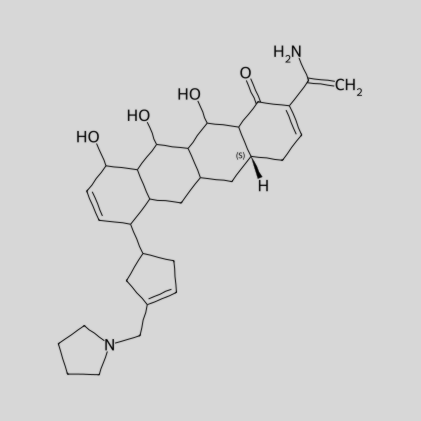 C=C(N)C1=CC[C@@H]2CC3CC4C(C5CC=C(CN6CCCC6)C5)C=CC(O)C4C(O)C3C(O)C2C1=O